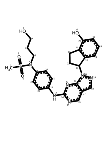 CS(=O)(=O)N(CCCO)c1ccc(Nc2ncc3cnn(C4CCc5c(O)cccc54)c3n2)cc1